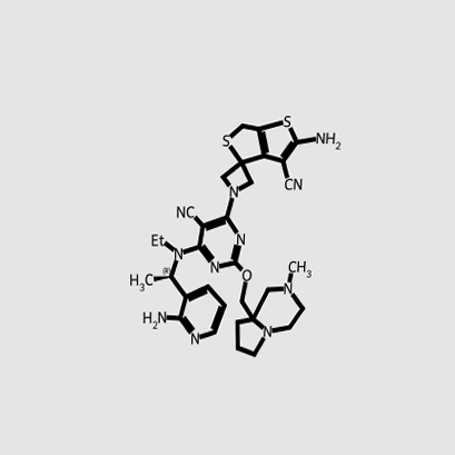 CCN(c1nc(OCC23CCCN2CCN(C)C3)nc(N2CC3(C2)SCc2sc(N)c(C#N)c23)c1C#N)[C@H](C)c1cccnc1N